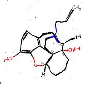 C=CCN1CC[C@]23c4c5ccc(O)c4O[C@H]2CCC[C@@]3(O)[C@H]1C5